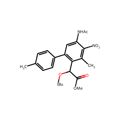 COC(=O)C(OC(C)(C)C)c1c(-c2ccc(C)cc2)cc(NC(C)=O)c([N+](=O)[O-])c1C